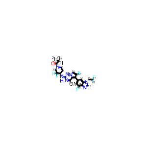 [2H]C([2H])([2H])C(=O)N1CC[C@@H](Nc2nc(OC)c3c(-c4cc(F)c5ncn(CC(F)F)c5c4)c(F)cn3n2)C(F)(F)C1